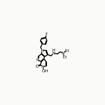 CCN(CC)CCNCc1cn(Cc2ccc(F)cc2)c2cnc3c(=O)n(O)ccc3c12